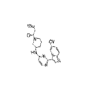 CC(C)(C)CC(=O)N1CCC[C@@H](Nc2ccnc(-c3cnc4ccc(C#N)cn34)n2)C1